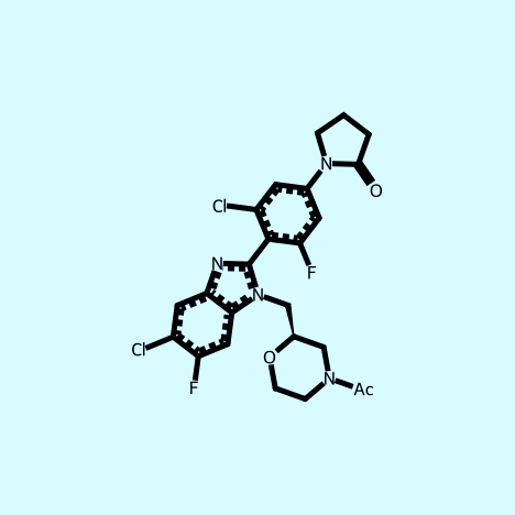 CC(=O)N1CCO[C@@H](Cn2c(-c3c(F)cc(N4CCCC4=O)cc3Cl)nc3cc(Cl)c(F)cc32)C1